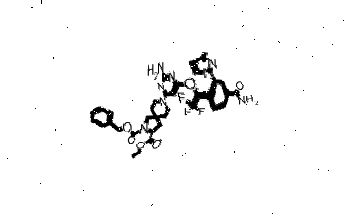 CCOC(=O)[C@@H]1CC2(CCN(c3cc(OC(c4ccc(C(N)=O)cc4-n4ccc(C)n4)C(F)(F)F)nc(N)n3)CC2)CN1C(=O)OCc1ccccc1